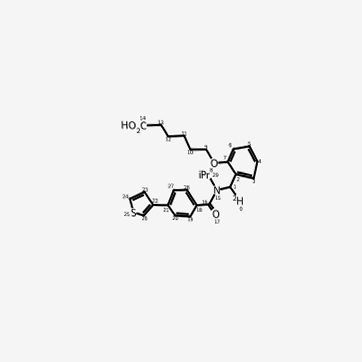 [2H]C(c1ccccc1OCCCCCC(=O)O)N(C(=O)c1ccc(-c2ccsc2)cc1)C(C)C